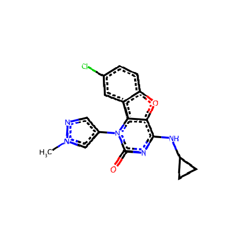 Cn1cc(-n2c(=O)nc(NC3CC3)c3oc4ccc(Cl)cc4c32)cn1